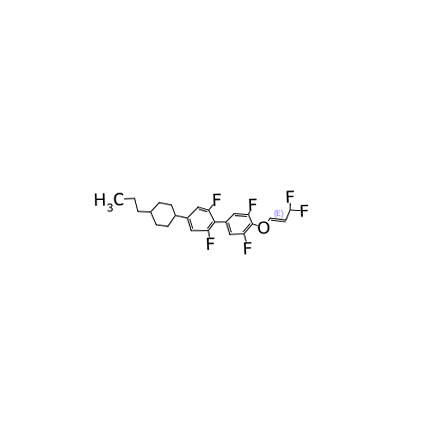 CCCC1CCC(c2cc(F)c(-c3cc(F)c(O/C=C/C(F)F)c(F)c3)c(F)c2)CC1